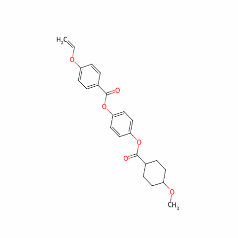 C=COc1ccc(C(=O)Oc2ccc(OC(=O)C3CCC(OC)CC3)cc2)cc1